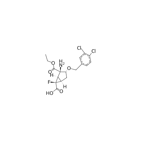 CCOC(=O)[C@@]1(N)[C@H]2[C@@H](C[C@H]1OCc1ccc(Cl)c(Cl)c1)[C@]2(F)C(=O)O